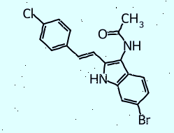 CC(=O)Nc1c(/C=C/c2ccc(Cl)cc2)[nH]c2cc(Br)ccc12